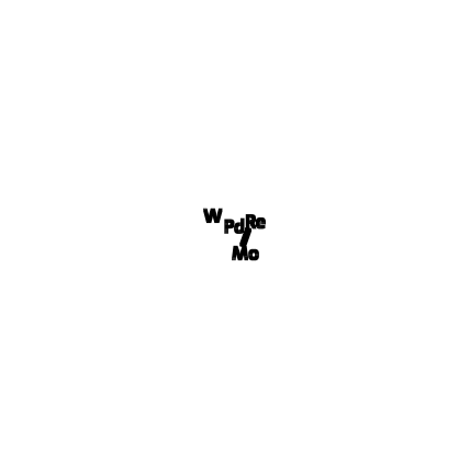 [Mo][Re].[Pd].[W]